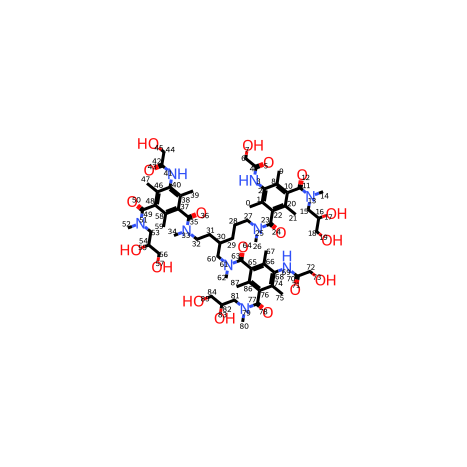 Cc1c(NC(=O)CO)c(C)c(C(=O)N(C)CC(O)CO)c(C)c1C(=O)N(C)CCCC(CCN(C)C(=O)c1c(C)c(NC(=O)CO)c(C)c(C(=O)N(C)CC(O)CO)c1C)CN(C)C(=O)c1c(C)c(NC(=O)CO)c(C)c(C(=O)N(C)CC(O)CO)c1C